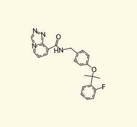 CC(C)(Oc1ccc(CNC(=O)c2cccn3cnnc23)cc1)c1ccccc1F